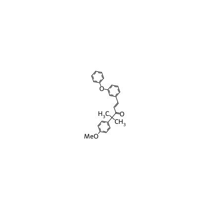 COc1ccc(C(C)(C)C(=O)/C=C/c2cccc(Oc3ccccc3)c2)cc1